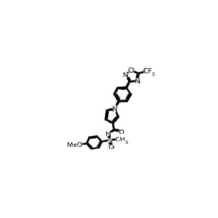 COc1ccc(S(C)(=O)=NC(=O)c2ccn(-c3ccc(-c4noc(C(F)(F)F)n4)cc3)c2)cc1